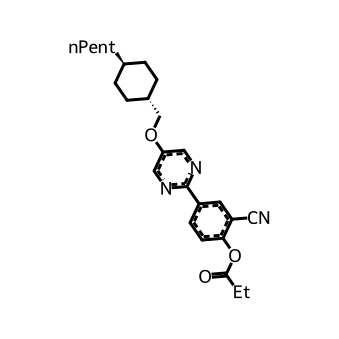 CCCCC[C@H]1CC[C@H](COc2cnc(-c3ccc(OC(=O)CC)c(C#N)c3)nc2)CC1